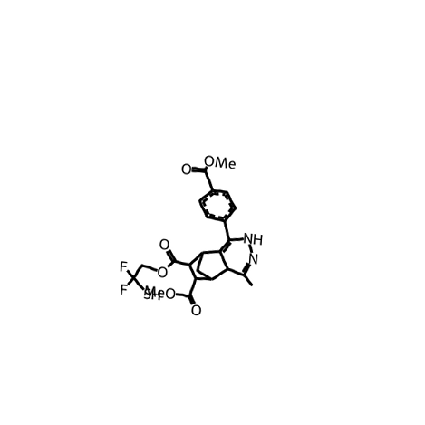 COC(=O)c1ccc(C2=C3C4CC(C3C(C)=NN2)C(C(=O)OC)C4C(=O)OCC(F)(F)S)cc1